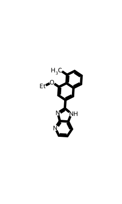 CCOc1cc(-c2nc3ncccc3[nH]2)cc2cccc(C)c12